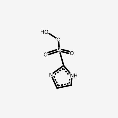 O=S(=O)(OO)c1ncc[nH]1